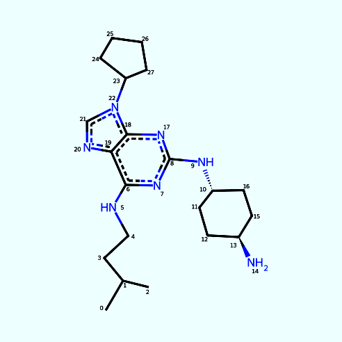 CC(C)CCNc1nc(N[C@H]2CC[C@H](N)CC2)nc2c1ncn2C1CCCC1